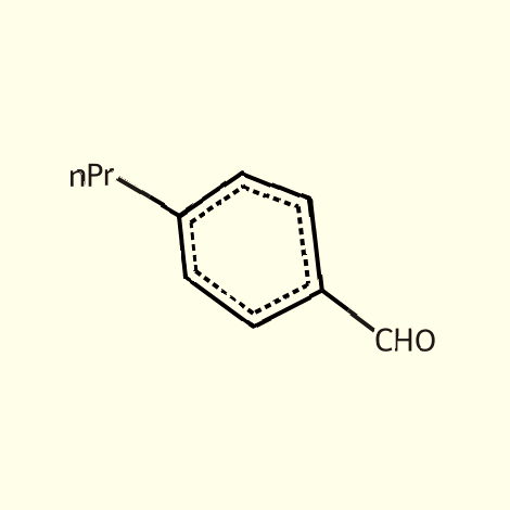 CCCc1ccc(C=O)cc1